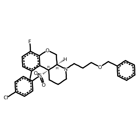 O=S(=O)(c1ccc(Cl)cc1)[C@@]12CCCN(CCCOCc3ccccc3)[C@@H]1COc1c(F)ccc(F)c12